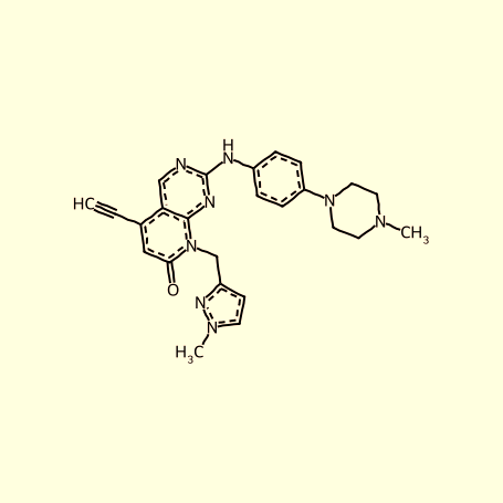 C#Cc1cc(=O)n(Cc2ccn(C)n2)c2nc(Nc3ccc(N4CCN(C)CC4)cc3)ncc12